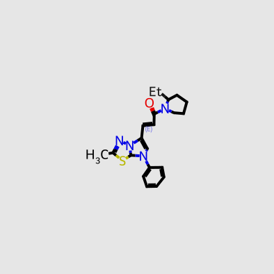 CCC1CCCCN1C(=O)/C=C/C1=CN(c2ccccc2)C2SC(C)=NN12